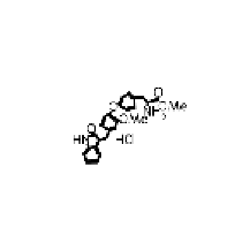 COC(=O)C(N)Cc1ccc(Oc2ccc(CC3C(=O)Nc4ccccc43)cc2OC)cc1.Cl